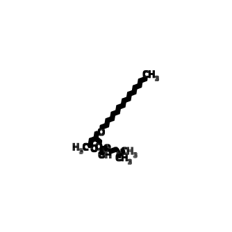 CCCCCCCCCCCCCCCCCOCC(COP(O)OCCN(C)C)CC(C)=O